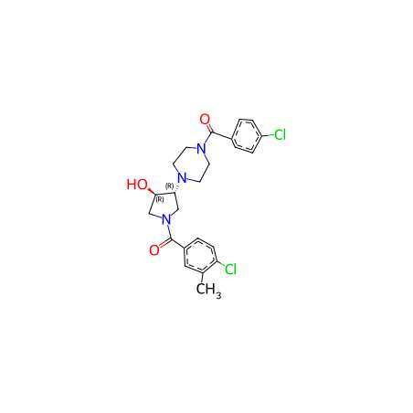 Cc1cc(C(=O)N2C[C@@H](O)[C@H](N3CCN(C(=O)c4ccc(Cl)cc4)CC3)C2)ccc1Cl